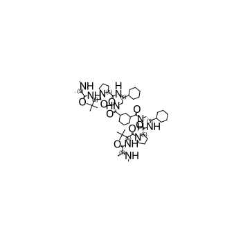 CN[C@@H](C)C(=O)N[C@H](C(=O)N1CCC[C@H]1C(=O)N[C@H](CNC(=O)C1CCCC(C(=O)NC[C@@H](NC(=O)[C@@H]2CCCN2C(=O)[C@@H](NC(=O)[C@H](C)NC)C(C)(C)C)C2CCCCC2)C1)C1CCCCC1)C(C)(C)C